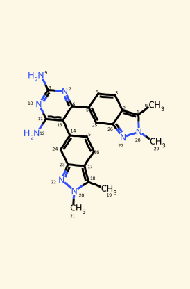 Cc1c2ccc(-c3nc(N)nc(N)c3-c3ccc4c(C)n(C)nc4c3)cc2nn1C